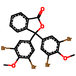 COc1c(Br)cc(C2(c3cc(Br)c(OC)c(Br)c3)OC(=O)c3ccccc32)cc1Br